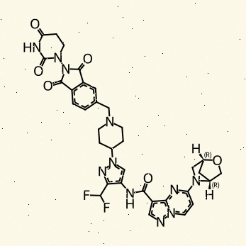 O=C1CCN(N2C(=O)c3ccc(CN4CCC(n5cc(NC(=O)c6cnn7ccc(N8C[C@H]9C[C@@H]8CO9)nc67)c(C(F)F)n5)CC4)cc3C2=O)C(=O)N1